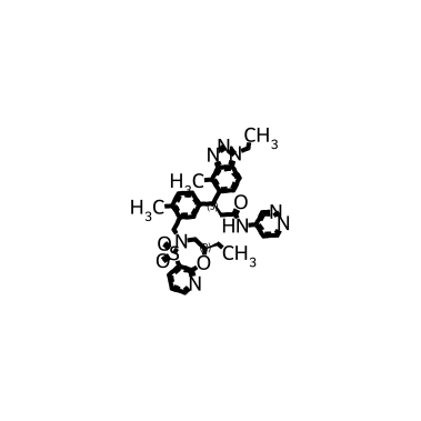 CC[C@@H]1CN(Cc2cc([C@H](CC(=O)Nc3ccnnc3)c3ccc4c(nnn4CC)c3C)ccc2C)S(=O)(=O)c2cccnc2O1